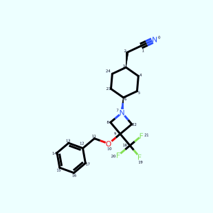 N#CC[C@H]1CC[C@@H](N2CC(OCc3ccccc3)(C(F)(F)F)C2)CC1